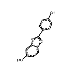 Oc1ccc(-c2nc3cc(O)ccc3o2)cc1